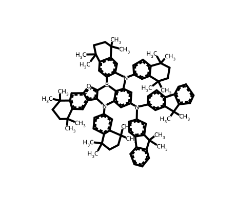 CC1(C)CCC(C)(C)c2cc(N3c4cc5c(cc4B4c6oc7cc8c(cc7c6N(c6ccc7c(c6)C(C)(C)CCC7(C)C)c6cc(N(c7ccc9c(c7)C(C)(C)c7ccccc7-9)c7ccc9c(c7)C(C)(C)c7ccccc7-9)cc3c64)C(C)(C)CCC8(C)C)C(C)(C)CCC5(C)C)ccc21